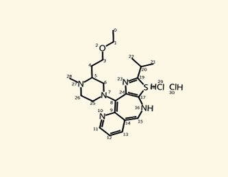 CCOCCC1CN(C2=c3ncccc3=CNc3sc(C(C)C)nc32)CCN1C.Cl.Cl